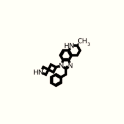 C[C@H]1CCc2c(ccc3c2nc(Cc2ccccc2)n3C2CC3(CNC3)C2)N1